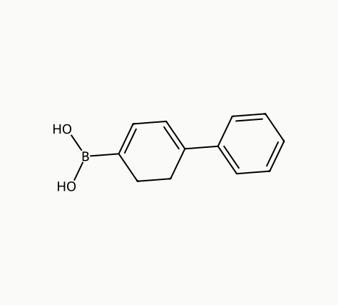 OB(O)C1=CC=C(c2ccccc2)CC1